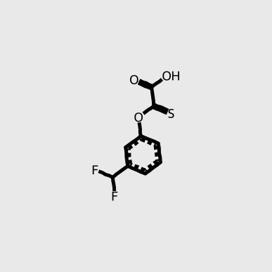 O=C(O)C(=S)Oc1cccc(C(F)F)c1